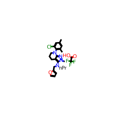 CCCN(Cc1ccco1)c1c2c(nn1C)N(c1c(C)cc(C)cc1Cl)CCC2.O=C(O)C(F)(F)F